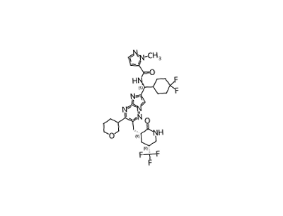 Cn1nccc1C(=O)N[C@H](c1cn2nc(C[C@H]3C[C@@H](C(F)(F)F)CNC3=O)c(C3CCCOC3)nc2n1)C1CCC(F)(F)CC1